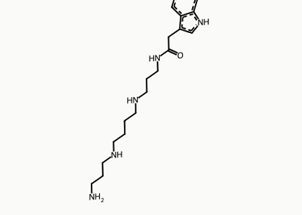 NCCCNCCCCNCCCNC(=O)Cc1c[nH]c2ccccc12